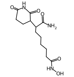 NC(=O)C(CCCCCC(=O)NO)C1CCC(=O)NC1=O